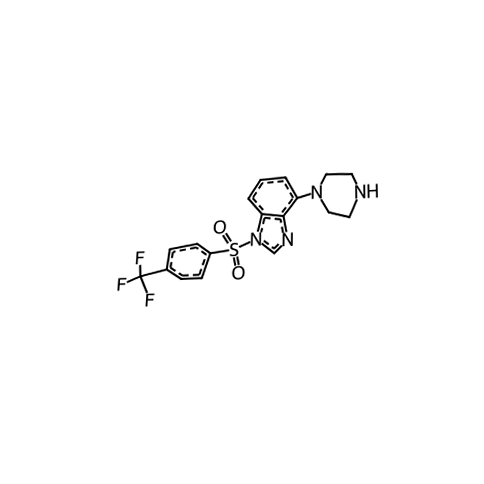 O=S(=O)(c1ccc(C(F)(F)F)cc1)n1cnc2c(N3CCNCC3)cccc21